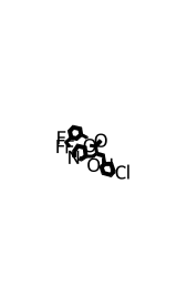 O=C(OCc1cccc(C(F)(F)F)c1)C(=Cc1cccc(Cl)c1)C(O)c1cccnc1